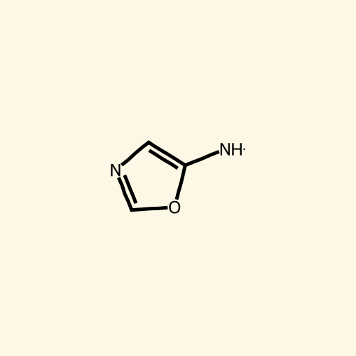 [NH]c1cnco1